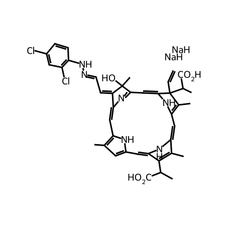 C=CC1(C(C)C(=O)O)C(C)=C2/C=c3\[nH]/c(c(C(C)C(=O)O)c3C)=C\c3cc(C)c([nH]3)\C=C3N=C(/C=C/1N2)C(C)(O)C/3=C\C=N\Nc1ccc(Cl)cc1Cl.[NaH].[NaH]